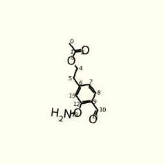 CC(=O)OCCc1ccc(C=O)c(ON)c1